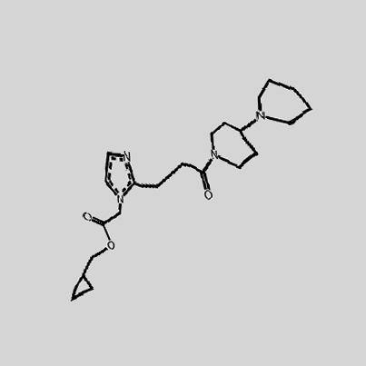 O=C(Cn1ccnc1CCC(=O)N1CCC(N2CCCCC2)CC1)OCC1CC1